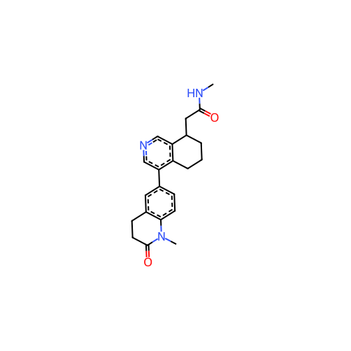 CNC(=O)CC1CCCc2c(-c3ccc4c(c3)CCC(=O)N4C)cncc21